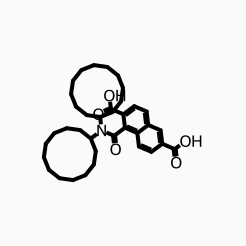 O=C(O)c1ccc2c(C(=O)N(C3CCCCCCCCCCC3)C3CCCCCCCCCCC3)c(C(=O)O)ccc2c1